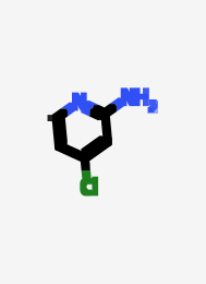 Nc1cc(Cl)c[c]n1